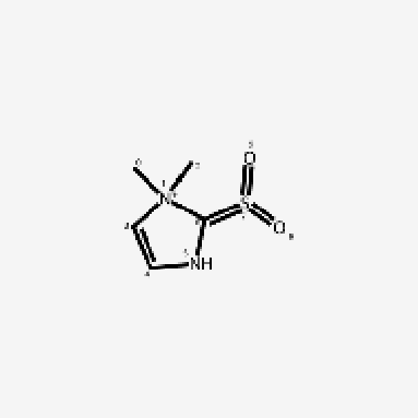 C[N+]1(C)C=CNC1=S(=O)=O